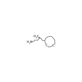 C[C@H](CCCN)CCC1CCCCCCCCCCCC1